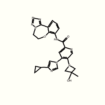 CC1(O)CN(c2cnc(C(=O)Nc3cccc4c3OCCn3nnnc3-4)cc2-n2cnc(C3CC3)c2)C1